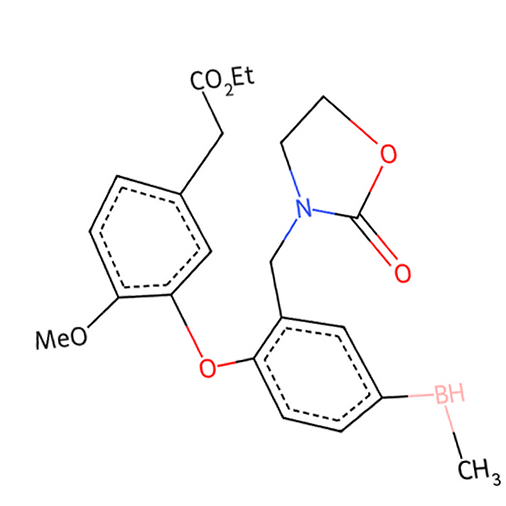 CBc1ccc(Oc2cc(CC(=O)OCC)ccc2OC)c(CN2CCOC2=O)c1